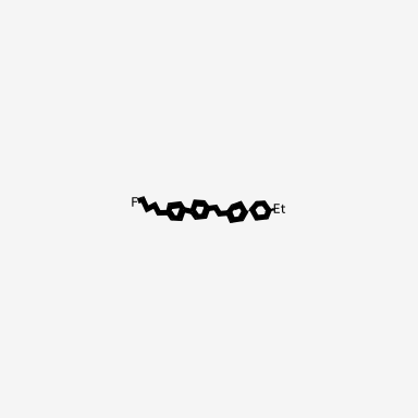 CC[C@H]1CC[C@H](c2ccc(CCc3ccc(-c4ccc(CCCCF)cc4)cc3)cc2)CC1